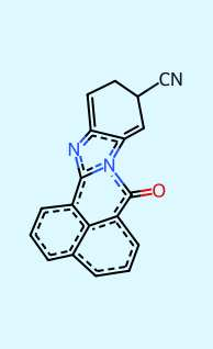 N#CC1C=c2c(nc3c4cccc5cccc(c(=O)n23)c54)=CC1